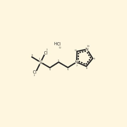 C[Si](Cl)(Cl)CCCn1ccnc1.Cl